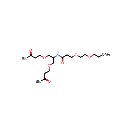 COCCOCCOCCC(=O)NC(COCCC(=O)C(C)(C)C)COCCC(=O)C(C)(C)C